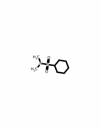 CN(C)S(=O)(=O)C1CCCCC1